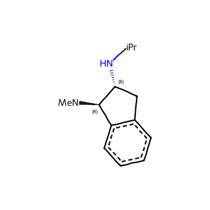 CN[C@@H]1c2ccccc2C[C@H]1NC(C)C